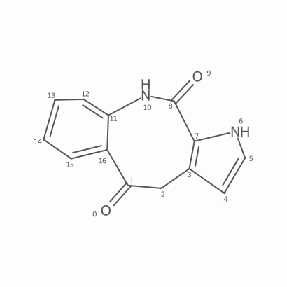 O=C1Cc2cc[nH]c2C(=O)Nc2ccccc21